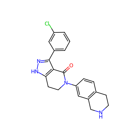 O=C1c2c(-c3cccc(Cl)c3)n[nH]c2CCN1c1ccc2c(c1)CNCC2